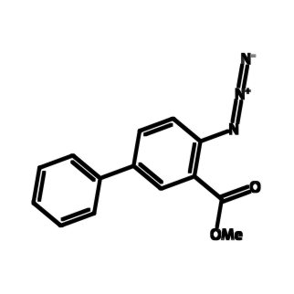 COC(=O)c1cc(-c2ccccc2)ccc1N=[N+]=[N-]